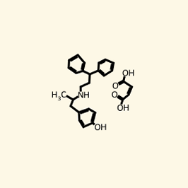 CC(Cc1ccc(O)cc1)NCCC(c1ccccc1)c1ccccc1.O=C(O)/C=C\C(=O)O